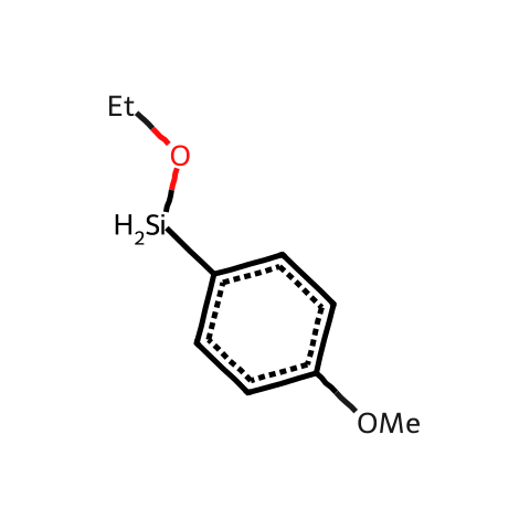 CCO[SiH2]c1ccc(OC)cc1